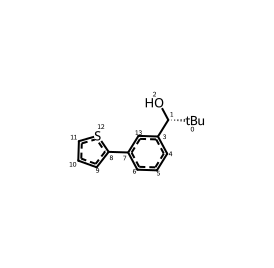 CC(C)(C)[C@@H](O)c1cccc(-c2cccs2)c1